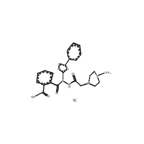 CN1CCN(CC(=O)NN(C(=O)c2ccccc2C(=O)O)c2nnc(-c3ccccc3)s2)CC1.Cl